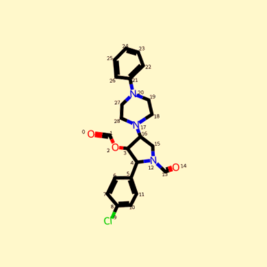 O=COC1C(c2ccc(Cl)cc2)N(C=O)CC1N1CCN(c2ccccc2)CC1